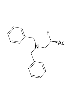 CC(=O)[C@H](F)CN(Cc1ccccc1)Cc1ccccc1